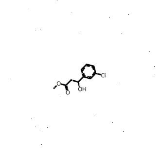 COC(=O)CC(O)c1cccc(Cl)c1